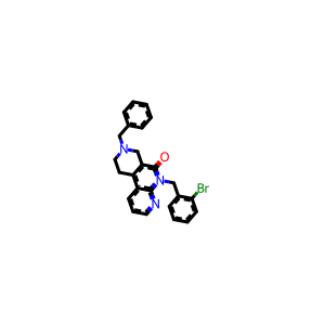 O=c1c2c(c3cccnc3n1Cc1ccccc1Br)CCN(Cc1ccccc1)C2